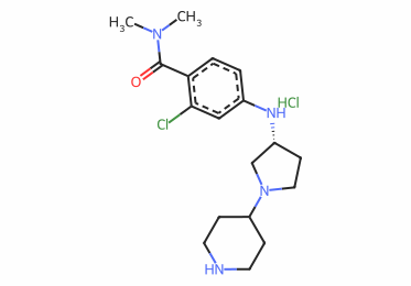 CN(C)C(=O)c1ccc(N[C@@H]2CCN(C3CCNCC3)C2)cc1Cl.Cl